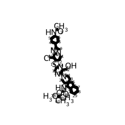 CC(=O)Nc1ccc(-c2cn3ccc(Sc4cnc(N5CCC6(CC5)Cc5ccccc5[C@H]6NC(=O)OC(C)(C)C)c(CO)n4)c(Cl)c3n2)cc1